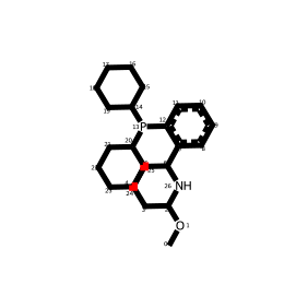 COC1CCCC(c2ccccc2P(C2CCCCC2)C2CCCCC2)N1